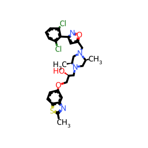 Cc1nc2cc(OC[C@@H](O)CN3C[C@H](C)N(Cc4cc(-c5c(Cl)cccc5Cl)no4)C[C@@H]3C)ccc2s1